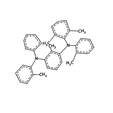 Cc1ccccc1N(c1ccccc1)c1cccc(N(c2ccccc2C)c2c(C)cccc2C)c1C